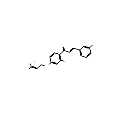 CC(C)=CCOc1ccc(C(=O)/C=C/c2cccc(Br)c2)c(O)c1